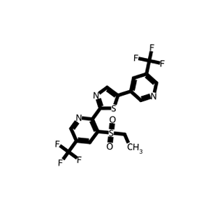 CCS(=O)(=O)c1cc(C(F)(F)F)cnc1-c1ncc(-c2cncc(C(F)(F)F)c2)s1